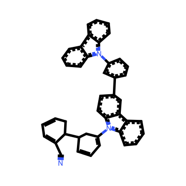 N#CC1=CC=CCC1C1C=CC=C(n2c3ccccc3c3cc(-c4cccc(-n5c6ccccc6c6ccccc65)c4)ccc32)C1